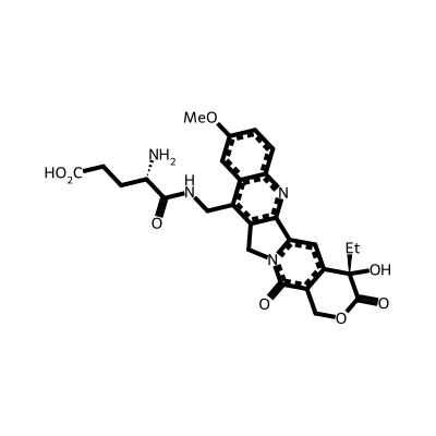 CC[C@@]1(O)C(=O)OCc2c1cc1n(c2=O)Cc2c-1nc1ccc(OC)cc1c2CNC(=O)[C@@H](N)CCC(=O)O